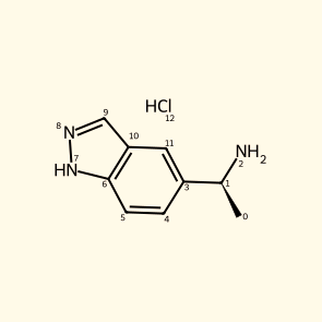 C[C@H](N)c1ccc2[nH]ncc2c1.Cl